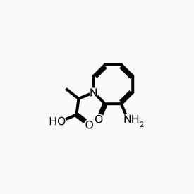 CC(C(=O)O)N1C=CC=CC=C(N)C1=O